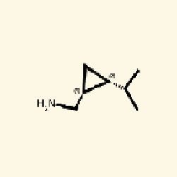 CC(C)[C@H]1C[C@@H]1CN